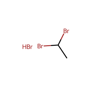 Br.CC(Br)Br